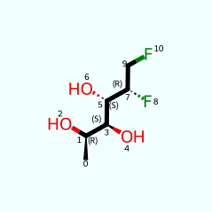 C[C@@H](O)[C@H](O)[C@H](O)[C@@H](F)CF